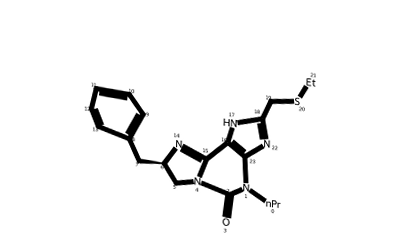 CCCN1C(=O)N2C[C@@H](Cc3ccccc3)N=C2c2[nH]c(CSCC)nc21